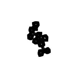 c1ccc(S(c2ccccc2)(c2ccc(-n3c4ccccc4c4ccccc43)cc2)c2cccc(-n3c4ccccc4c4ccc5c6ccccc6sc5c43)c2)cc1